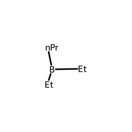 CCCB(CC)CC